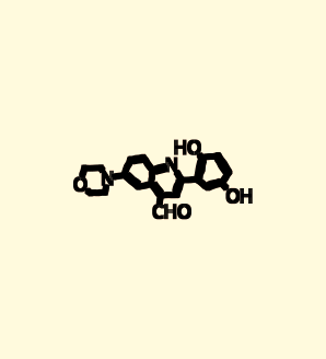 O=Cc1cc(-c2cc(O)ccc2O)nc2ccc(N3CCOCC3)cc12